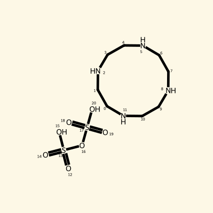 C1CNCCNCCNCCN1.O=S(=O)(O)OS(=O)(=O)O